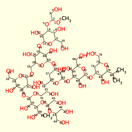 COC(CO)OC1C(O)C(CO)OC(OC2C(O)C(COC3OC(CO)C(O)C(OC(OCCO)C(O)C(OC(CO)OC(CO)CO)C(C)O)C3O)OC(OC3CC(CO)OC(OC4C(O)C(CO)OC(OC5CC(CO)OC(C(C)C)C5O)C4O)C3O)C2O)C1O